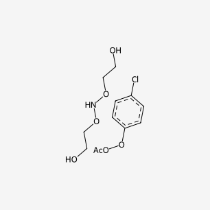 CC(=O)OOc1ccc(Cl)cc1.OCCONOCCO